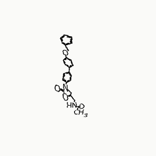 CC(=O)NCC1CN(c2ccc(-c3ccc(OCc4ccccc4)cc3)cc2)C(=O)O1